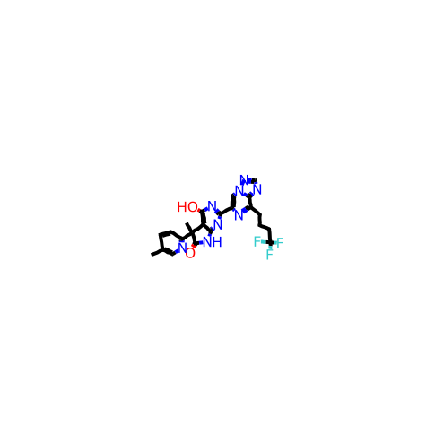 Cc1ccc(C2(C)C(=O)Nc3nc(-c4cn5ncnc5c(CCCC(F)(F)F)n4)nc(O)c32)nc1